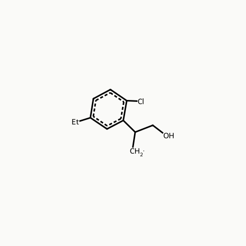 [CH2]C(CO)c1cc(CC)ccc1Cl